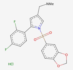 CNCc1cc(-c2ccc(F)cc2F)n(S(=O)(=O)c2ccc3c(c2)OCO3)c1.Cl